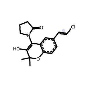 CC1(C)Oc2ccc(/C=C/Cl)cc2C(N2CCCC2=O)=C1O